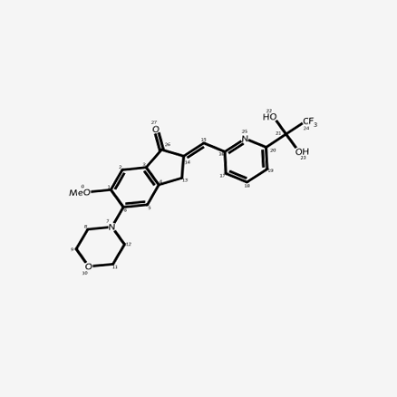 COc1cc2c(cc1N1CCOCC1)C/C(=C\c1cccc(C(O)(O)C(F)(F)F)n1)C2=O